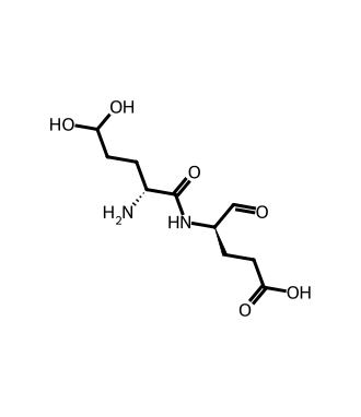 N[C@H](CCC(O)O)C(=O)N[C@@H](C=O)CCC(=O)O